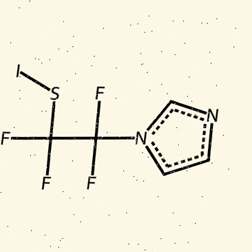 FC(F)(SI)C(F)(F)n1ccnc1